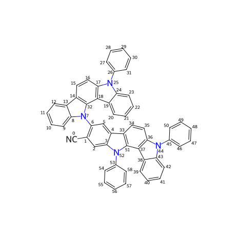 N#Cc1cc2c(cc1-n1c3ccccc3c3ccc4c(c5ccccc5n4-c4ccccc4)c31)c1ccc3c(c4ccccc4n3-c3ccccc3)c1n2-c1ccccc1